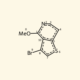 COc1nccc2scc(Br)c12